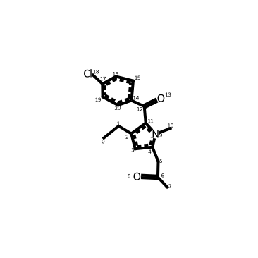 CCc1cc(CC(C)=O)n(C)c1C(=O)c1ccc(Cl)cc1